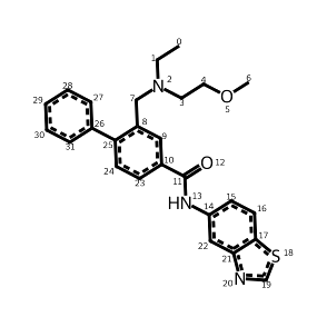 CCN(CCOC)Cc1cc(C(=O)Nc2ccc3scnc3c2)ccc1-c1ccccc1